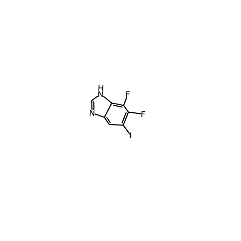 Fc1c(I)cc2nc[nH]c2c1F